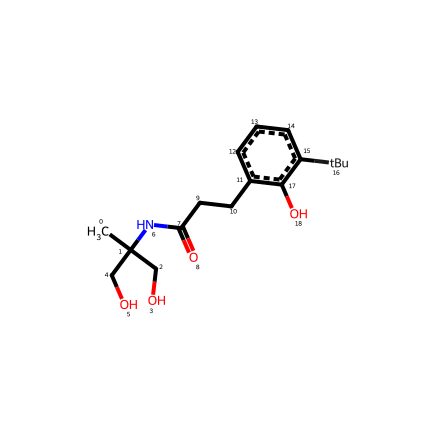 CC(CO)(CO)NC(=O)CCc1cccc(C(C)(C)C)c1O